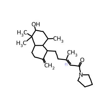 C=C1CCC2C(C(C)CC(O)C2(C)C)C1CC/C(C)=C/C(=O)N1CCCC1